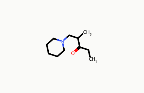 CCC(=O)C(C)CN1CCCCC1